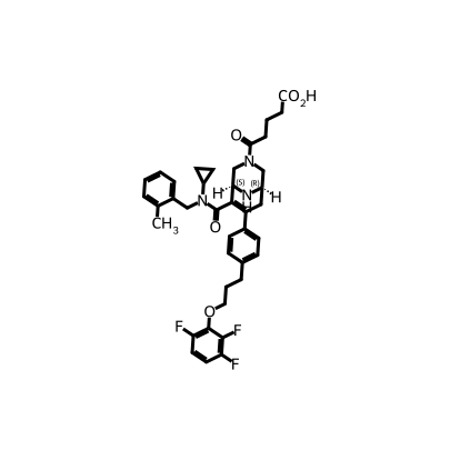 Cc1ccccc1CN(C(=O)C1=C(c2ccc(CCCOc3c(F)ccc(F)c3F)cc2)C[C@@H]2CN(C(=O)CCCC(=O)O)C[C@H]1N2)C1CC1